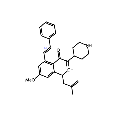 C=C(C)CC(O)c1cc(OC)cc(/C=C/c2ccccc2)c1C(=O)NC1CCNCC1